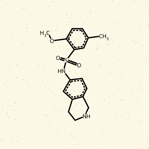 COc1ccc(C)cc1S(=O)(=O)Nc1ccc2c(c1)CCNC2